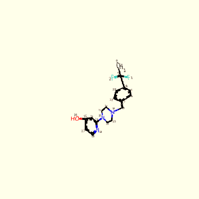 CC(F)(F)c1ccc(CN2CCN(c3cc(O)ccn3)CC2)cc1